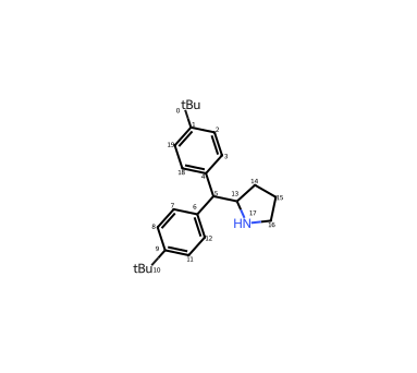 CC(C)(C)c1ccc(C(c2ccc(C(C)(C)C)cc2)C2CCCN2)cc1